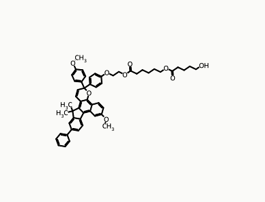 COc1ccc(C2(c3ccc(OCCOC(=O)CCCCCOC(=O)CCCCO)cc3)C=Cc3c4c(c5cc(OC)ccc5c3O2)-c2ccc(-c3ccccc3)cc2C4(C)C)cc1